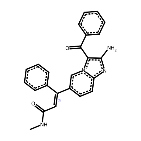 CNC(=O)/C=C(\c1ccccc1)c1ccc2nc(N)c(C(=O)c3ccccc3)n2c1